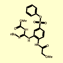 CCCC/N=C(\NC(=O)OC)Nc1cc(S(=O)(=O)Oc2ccccc2)ccc1NC(=O)COC